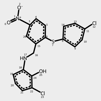 O=[N+]([O-])c1ccc(Sc2ccc(Cl)cc2)c(CNc2cccc(Cl)c2O)c1